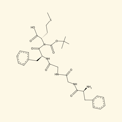 CSCC[C@@H](C(=O)O)N(C(=O)OC(C)(C)C)C(=O)[C@H](Cc1ccccc1)NC(=O)CNC(=O)CNC(=O)[C@@H](N)Cc1ccccc1